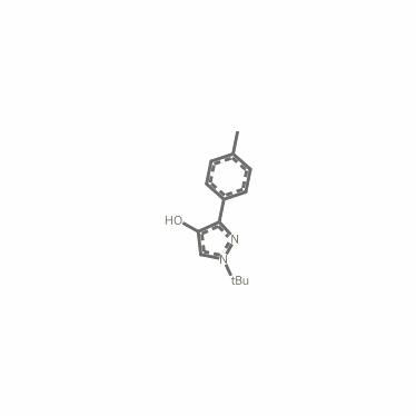 Cc1ccc(-c2nn(C(C)(C)C)cc2O)cc1